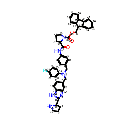 O=C(Nc1ccc(CN(Cc2ccc3[nH]c(C4CCCN4)nc3c2)c2ccc(F)cc2)cc1)C1CCCN1C(=O)OCC1c2ccccc2-c2ccccc21